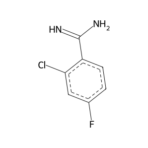 N=C(N)c1ccc(F)cc1Cl